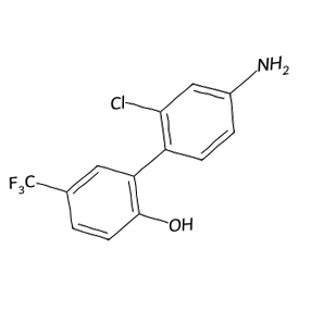 Nc1ccc(-c2cc(C(F)(F)F)ccc2O)c(Cl)c1